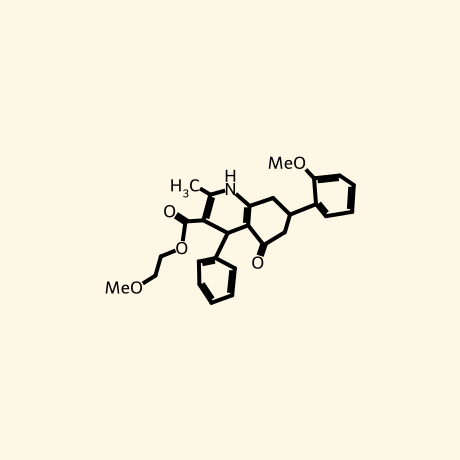 COCCOC(=O)C1=C(C)NC2=C(C(=O)CC(c3ccccc3OC)C2)C1c1ccccc1